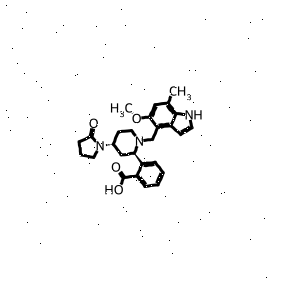 COc1cc(C)c2[nH]ccc2c1CN1CC[C@@H](N2CCCC2=O)C[C@@H]1c1ccccc1C(=O)O